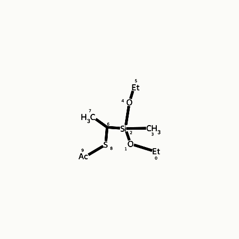 CCO[Si](C)(OCC)C(C)SC(C)=O